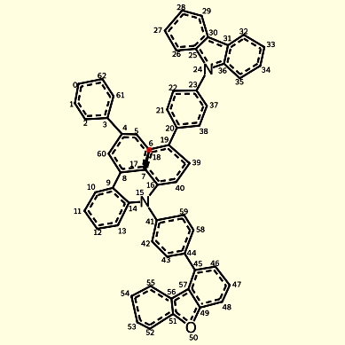 c1ccc(-c2cccc(-c3ccccc3N(c3ccc(-c4ccc(-n5c6ccccc6c6ccccc65)cc4)cc3)c3ccc(-c4cccc5oc6ccccc6c45)cc3)c2)cc1